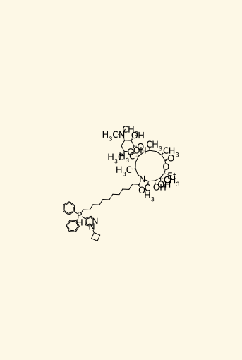 CC[C@H]1OC(=O)[C@H](C)C[C@H](C)[C@@H](O[C@@H]2O[C@H](C)C[C@H](N(C)C)[C@H]2O)[C@](C)(O)C[C@@H](C)CN(C(=O)CCCCCCCCCCC[PH](c2ccccc2)(c2ccccc2)c2cnn(C3CCC3)c2)[C@H](C)[C@@H](O)[C@]1(C)O